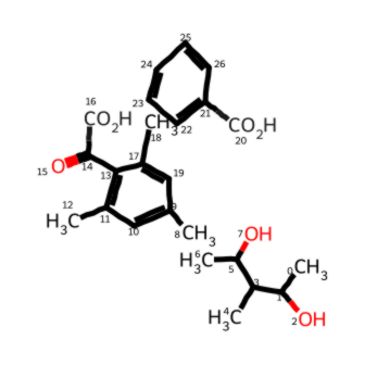 CC(O)C(C)C(C)O.Cc1cc(C)c(C(=O)C(=O)O)c(C)c1.O=C(O)c1ccccc1